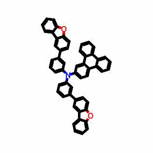 c1cc(-c2ccc3oc4ccccc4c3c2)cc(N(c2cccc(-c3ccc4oc5ccccc5c4c3)c2)c2ccc3c4ccccc4c4ccccc4c3c2)c1